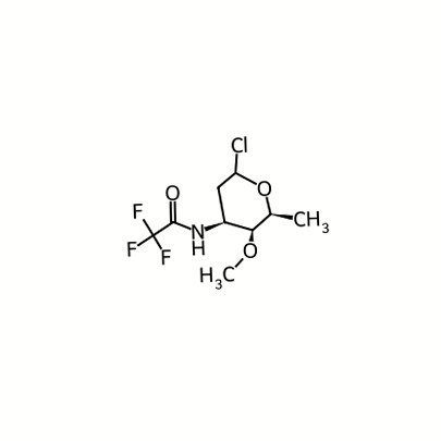 CO[C@H]1[C@@H](NC(=O)C(F)(F)F)CC(Cl)O[C@H]1C